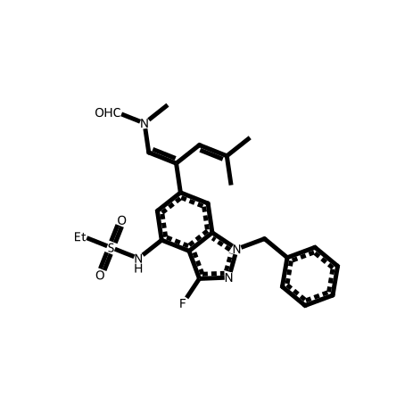 CCS(=O)(=O)Nc1cc(/C(C=C(C)C)=C/N(C)C=O)cc2c1c(F)nn2Cc1ccccc1